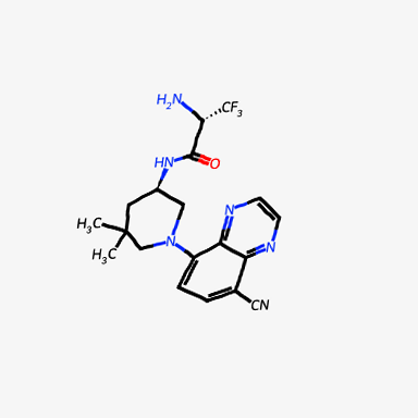 CC1(C)C[C@@H](NC(=O)[C@H](N)C(F)(F)F)CN(c2ccc(C#N)c3nccnc23)C1